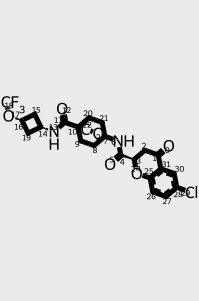 O=C1C[C@H](C(=O)NC23CCC(C(=O)N[C@H]4C[C@@H](OC(F)(F)F)C4)(CC2)CC3)Oc2ccc(Cl)cc21